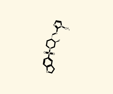 Cn1ccnc1SC[C@H]1CCN(S(=O)(=O)c2ccc3c(c2)CCO3)C[C@@H]1F